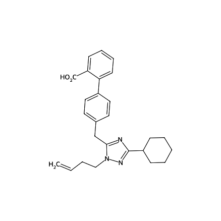 C=CCCn1nc(C2CCCCC2)nc1Cc1ccc(-c2ccccc2C(=O)O)cc1